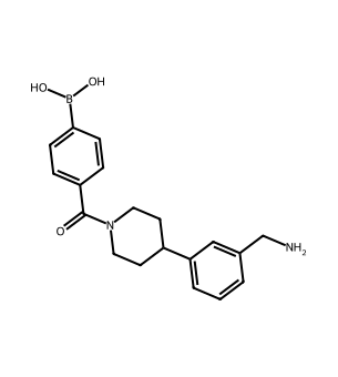 NCc1cccc(C2CCN(C(=O)c3ccc(B(O)O)cc3)CC2)c1